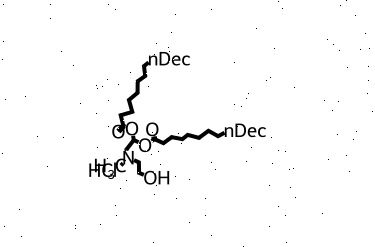 CCCCCCCCCCCCCCCCCC(=O)OC(CN(C)CCO)OC(=O)CCCCCCCCCCCCCCCCC.Cl